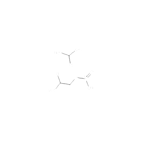 CC(C)Cl.CC(Cl)CO[PH](=O)O